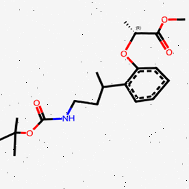 COC(=O)[C@@H](C)Oc1ccccc1C(C)CCNC(=O)OC(C)(C)C